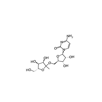 CC1(OC[C@H]2O[C@@H](n3ccc(N)nc3=O)[C@H](O)[C@@H]2O)O[C@H](CO)[C@@H](O)[C@H]1O